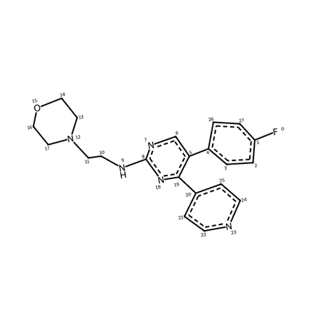 Fc1ccc(-c2cnc(NCCN3CCOCC3)nc2-c2ccncc2)cc1